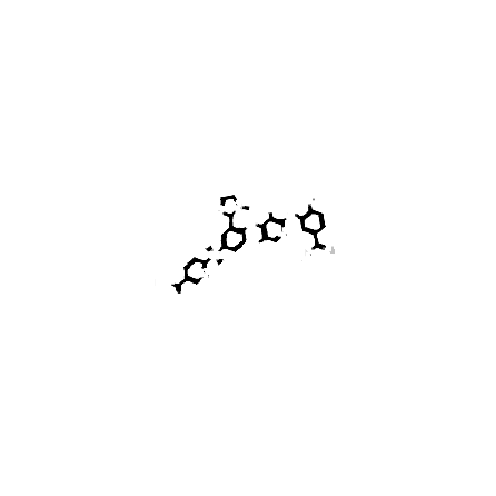 CN1CC=NC1c1cc(S(=O)(=O)c2ccc(C(=O)O)cn2)ccc1Oc1c(F)cnc(Oc2cc(C(=N)N)ccc2O)c1F